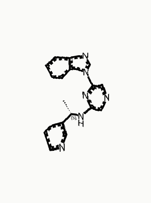 C[C@H](Nc1cncc(-n2cnc3ccccc32)n1)c1cccnc1